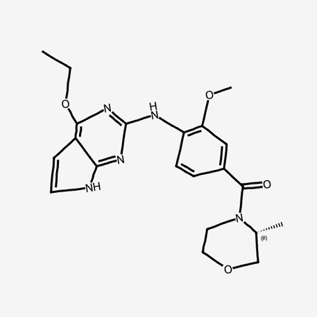 CCOc1nc(Nc2ccc(C(=O)N3CCOC[C@H]3C)cc2OC)nc2[nH]ccc12